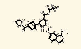 Nc1nccc2ccc(OC[C@@H](CCC(=O)OC(=O)C(F)(F)F)NC(=O)c3ccc(C(=O)N4CCCC4)cc3)cc12